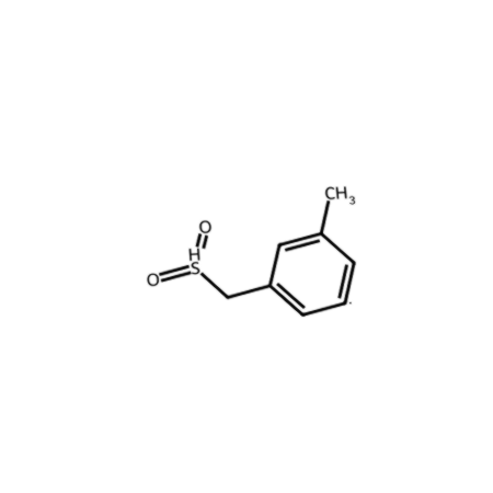 Cc1c[c]cc(C[SH](=O)=O)c1